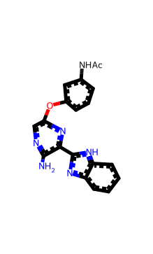 CC(=O)Nc1cccc(Oc2cnc(N)c(-c3nc4ccccc4[nH]3)n2)c1